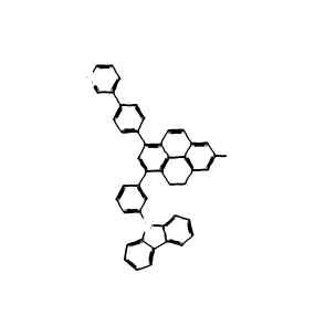 CC(C)(C)c1cc2c3c(ccc4c(-c5ccc(-c6cccnc6)cc5)cc(-c5cccc(-n6c7ccccc7c7ccccc76)c5)c(c43)CC2)c1